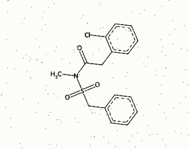 CN(C(=O)Cc1ccccc1Cl)S(=O)(=O)Cc1ccccc1